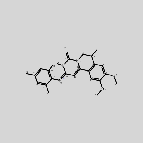 COc1cc2c(cc1OC)C(C)Cn1c-2c/c(=N/c2c(C)cc(C)cc2C)n(C)c1=O